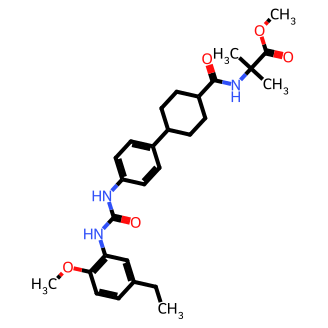 CCc1ccc(OC)c(NC(=O)Nc2ccc(C3CCC(C(=O)NC(C)(C)C(=O)OC)CC3)cc2)c1